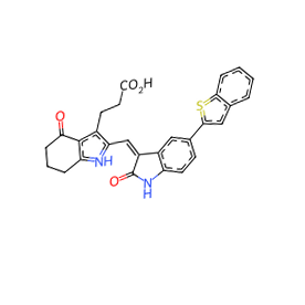 O=C(O)CCc1c(C=C2C(=O)Nc3ccc(-c4cc5ccccc5s4)cc32)[nH]c2c1C(=O)CCC2